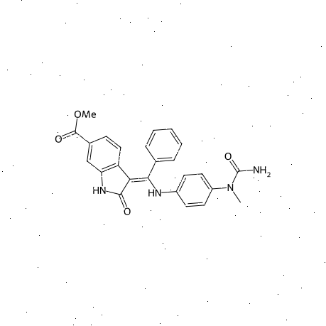 COC(=O)c1ccc2c(c1)NC(=O)/C2=C(\Nc1ccc(N(C)C(N)=O)cc1)c1ccccc1